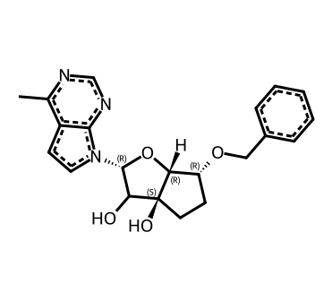 Cc1ncnc2c1ccn2[C@@H]1O[C@@H]2[C@H](OCc3ccccc3)CC[C@]2(O)C1O